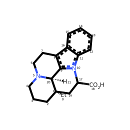 CC[C@@]12CCCN3CCc4c(n(c5ccccc45)C(C(=O)O)C1)[C@H]32